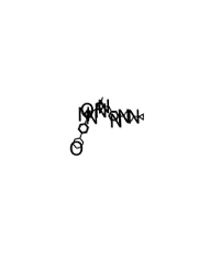 Cc1cc(-c2nc(-c3ccc(C4CCOCC4)cc3)no2)nn1Cc1ccnc(N2CCN(C3CC3)CC2)c1